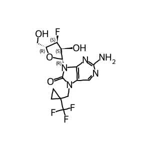 Nc1ncc2c(n1)n([C@@H]1O[C@H](CO)[C@@H](F)[C@H]1O)c(=O)n2CC1(C(F)(F)F)CC1